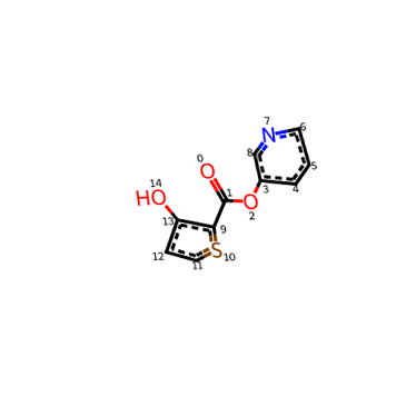 O=C(Oc1cccnc1)c1sccc1O